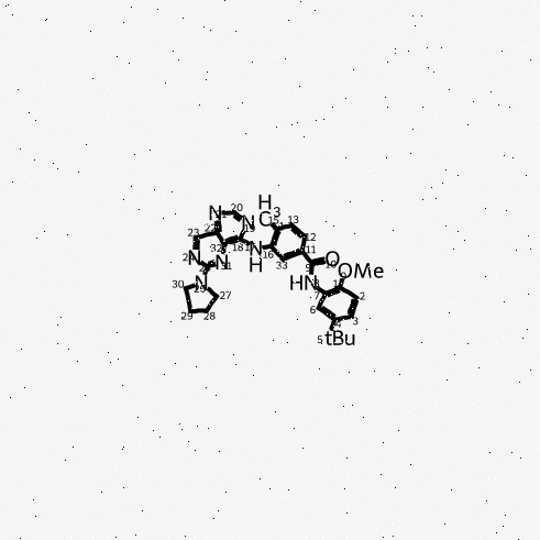 COc1ccc(C(C)(C)C)cc1NC(=O)c1ccc(C)c(Nc2ncnc3cnc(N4CCCC4)nc23)c1